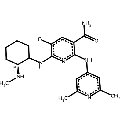 CN[C@H]1CCCCC1Nc1nc(Nc2cc(C)nc(C)c2)c(C(N)=O)cc1F